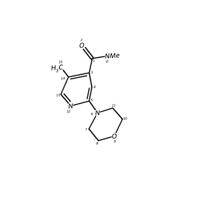 CNC(=O)c1cc(N2CCOCC2)ncc1C